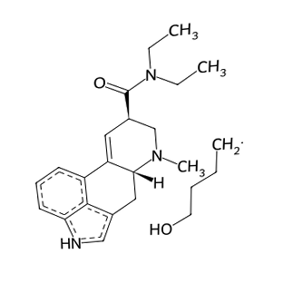 CCN(CC)C(=O)[C@@H]1C=C2c3cccc4[nH]cc(c34)C[C@H]2N(C)C1.[CH2]CCCO